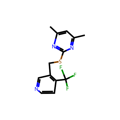 Cc1cc(C)nc(SCc2cnccc2C(F)(F)F)n1